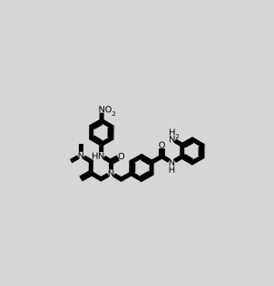 C=C(CN(C)C)CN(Cc1ccc(C(=O)Nc2ccccc2N)cc1)C(=O)Nc1ccc([N+](=O)[O-])cc1